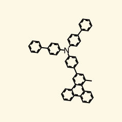 Cc1cc(-c2ccc(N(c3ccc(-c4ccccc4)cc3)c3ccc(-c4ccccc4)cc3)cc2)cc2c3ccccc3c3ccccc3c12